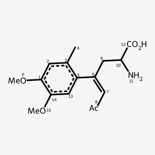 COc1cc(C)c(/C(=C\C(C)=O)CC(N)C(=O)O)cc1OC